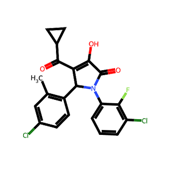 Cc1cc(Cl)ccc1C1C(C(=O)C2CC2)=C(O)C(=O)N1c1cccc(Cl)c1F